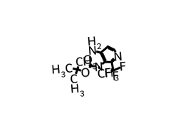 CN(C(=O)OC(C)(C)C)c1c(N)ccnc1C(F)(F)F